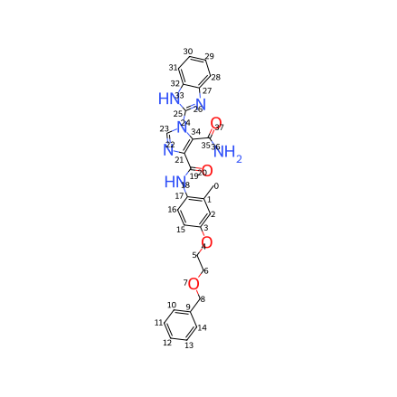 Cc1cc(OCCOCc2ccccc2)ccc1NC(=O)c1ncn(-c2nc3ccccc3[nH]2)c1C(N)=O